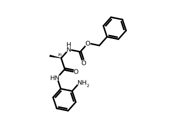 C[C@@H](NC(=O)OCc1ccccc1)C(=O)Nc1ccccc1N